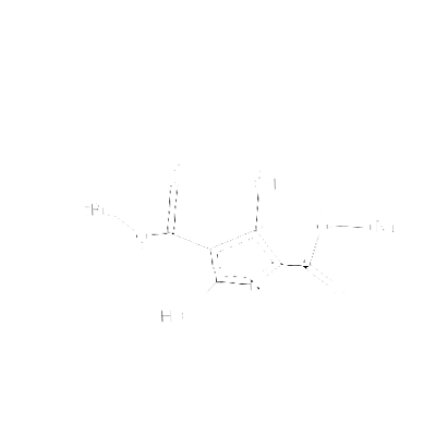 Cc1[nH]c(C(=O)OC(C)(C)C)c(C)c1C(=O)OC(C)(C)C